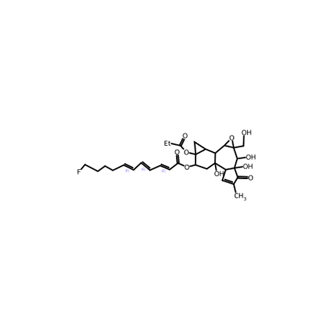 CCC(=O)OC12CC1C1C3OC3(CO)C(O)C3(O)C(=O)C(C)=CC3C1(O)CC2OC(=O)/C=C/C=C/C=C/CCCCF